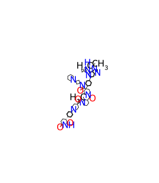 CC1C(C(=O)N2CCC3(CC2)C(=O)N(C2CC(N4CCCCC4)C2)c2cc(-c4cc5ncn(C(C)C)c5c(NC5CC5)n4)ccc23)CCCN1C(=O)C1CCN(c2ccc([C@H]3CCC(=O)NC3=O)cc2)CC1